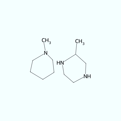 CC1CNCCN1.CN1CCCCC1